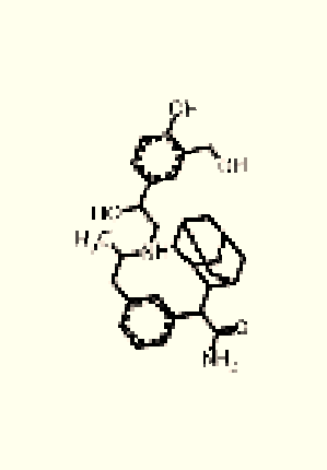 CC(Cc1cccc(C(C(N)=O)C2C3CC4CC(C3)CC2C4)c1)NCC(O)c1ccc(O)c(CO)c1